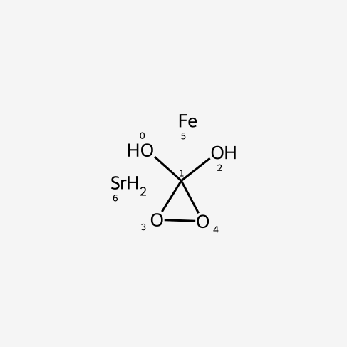 OC1(O)OO1.[Fe].[SrH2]